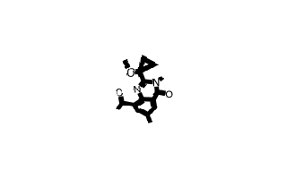 COC1(c2nc3c(C(C)=O)cc(C)cc3c(=O)n2C)CC1